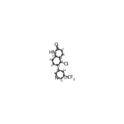 O=c1ccc2c(Cl)c(-c3cncc(C(F)(F)F)c3)ccc2[nH]1